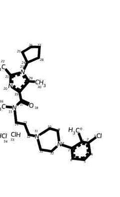 Cc1c(Cl)cccc1N1CCN(CCCN(C)C(=O)c2nc(C)n(C3CCCC3)c2C)CC1.Cl.Cl